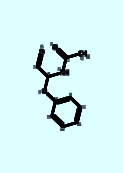 CC(=O)NC([C]=O)Oc1ccccc1